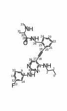 CCCNc1nc(Nc2cccc(F)c2)ncc1C#Cc1ccccc1CNC(=O)C(C)NC